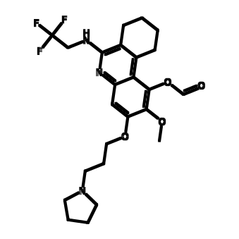 COc1c(OCCCN2CCCC2)cc2nc(NCC(F)(F)F)c3c(c2c1OC=O)CCCC3